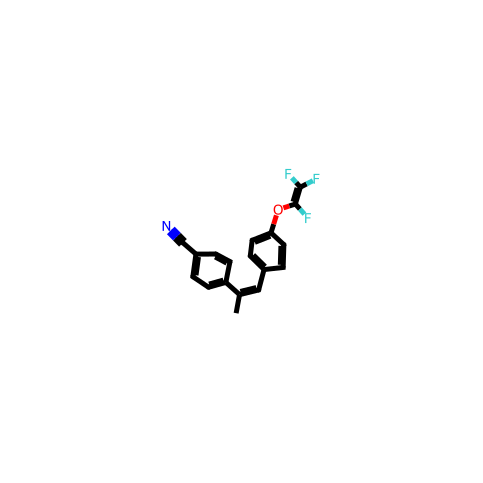 CC(=Cc1ccc(OC(F)=C(F)F)cc1)c1ccc(C#N)cc1